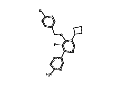 Nc1cnc(-c2ccc(C3CCC3)c(OCc3ccc(Cl)cc3)c2F)cn1